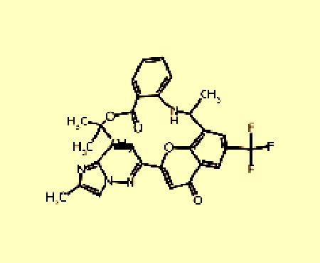 Cc1cn2nc(-c3cc(=O)c4cc(C(F)(F)F)cc(C(C)Nc5ccccc5C(=O)OC(C)(C)C)c4o3)ccc2n1